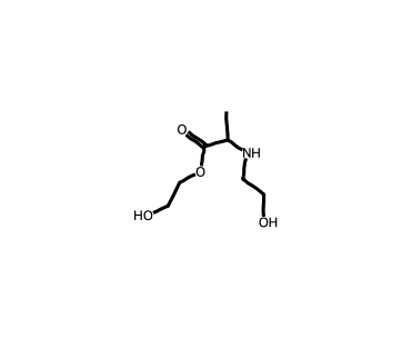 CC(NCCO)C(=O)OCCO